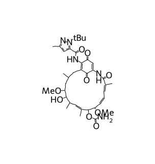 COC1/C=C\C=C(/C)C(=O)NC2=CC(=O)C(NC(=O)c3cc(C)nn3C(C)(C)C)=C(CC(C)CC(OC)C(O)C(C)/C=C(\C)C1OC(N)=O)C2=O